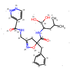 CC(C)CC(NC(=O)C1(Cc2ccccc2)CC(CNC(=O)c2ccnnc2)=NO1)B(O)O